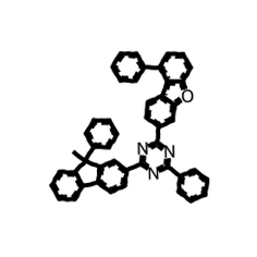 CC1(c2ccccc2)c2ccccc2-c2ccc(-c3nc(-c4ccccc4)nc(-c4ccc5c(c4)oc4cccc(-c6ccccc6)c45)n3)cc21